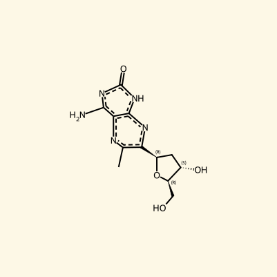 Cc1nc2c(N)nc(=O)[nH]c2nc1[C@H]1C[C@H](O)[C@@H](CO)O1